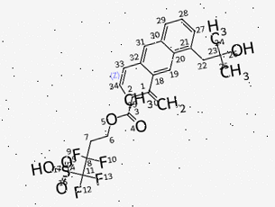 C=C(CC(=O)OCCC(F)(F)C(F)(F)S(=O)(=O)O)c1cc2c(CC(C)(C)O)cccc2cc1/C=C\C